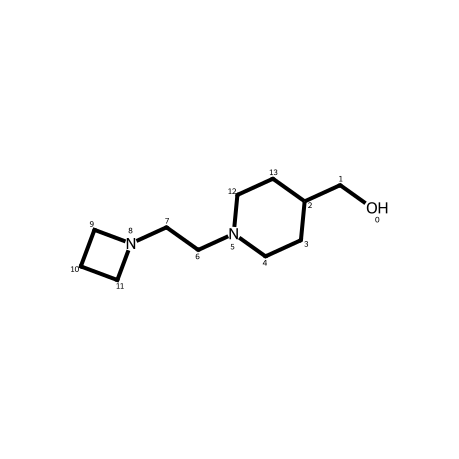 OCC1CCN(CCN2CCC2)CC1